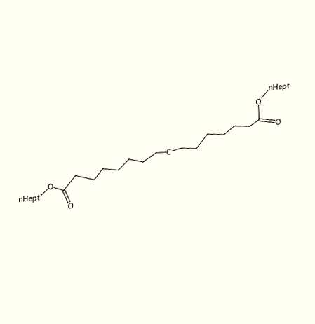 CCCCCCCOC(=O)CCCCCCCCCCCCCCC(=O)OCCCCCCC